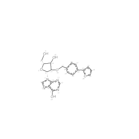 OC[C@H]1O[C@@H](n2cnc3c(O)ncnc32)C(OCc2ccc(-c3ccco3)cc2)C1O